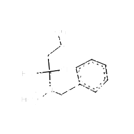 CC(C)(CCO)N(Cc1ccccc1)C(=O)O